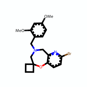 COc1ccc(CN2Cc3nc(Br)ccc3OC3(CCC3)C2)c(OC)c1